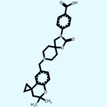 CC1(C)CC2(CC2)c2cc(CN3CCC4(CC3)CN(c3ccc(C(=O)O)cc3)C(=O)O4)ccc2O1